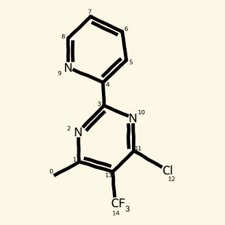 Cc1nc(-c2ccccn2)nc(Cl)c1C(F)(F)F